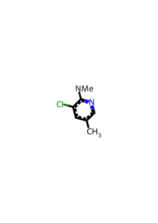 CNc1ncc(C)cc1Cl